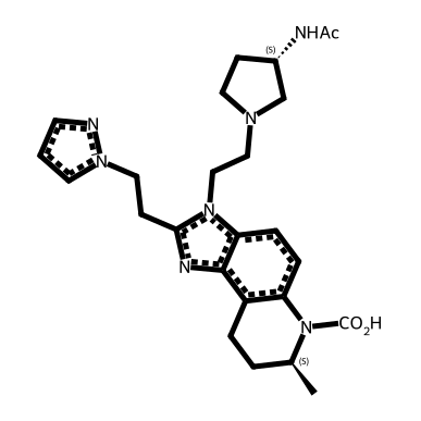 CC(=O)N[C@H]1CCN(CCn2c(CCn3cccn3)nc3c4c(ccc32)N(C(=O)O)[C@@H](C)CC4)C1